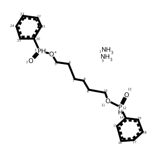 N.N.O=[PH](OCCCCCCO[PH](=O)c1ccccc1)c1ccccc1